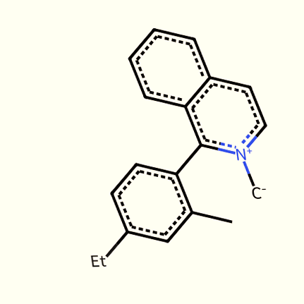 [CH2-][n+]1ccc2ccccc2c1-c1ccc(CC)cc1C